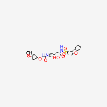 COc1ccc(OCC(=O)NCCCCC(NS(=O)(=O)c2ccc3oc4ccccc4c3c2)C(=O)O)cc1